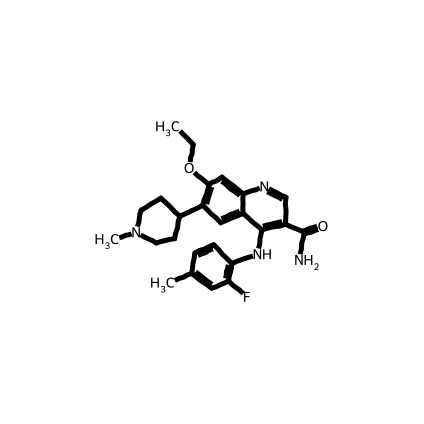 CCOc1cc2ncc(C(N)=O)c(Nc3ccc(C)cc3F)c2cc1C1CCN(C)CC1